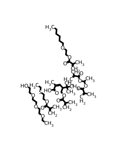 C=C(C)C(=O)OC(C)OC(=O)C(=C)C.C=C(C)C(=O)OCC(C=C(C)C(=O)O)C(C)(C)C.C=C(C)C(=O)OCCOCCCCCC.C=C(C)C(=O)OCCSCC.CCOCCOCCOCCO